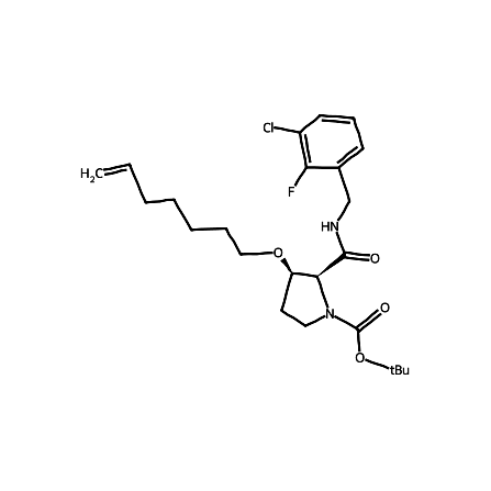 C=CCCCCCO[C@@H]1CCN(C(=O)OC(C)(C)C)[C@@H]1C(=O)NCc1cccc(Cl)c1F